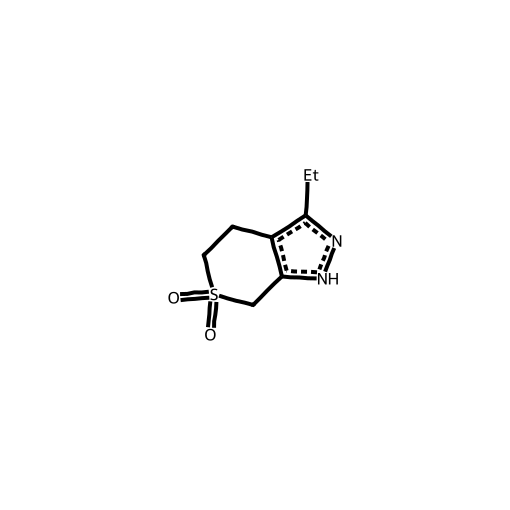 CCc1n[nH]c2c1CCS(=O)(=O)C2